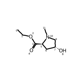 CCOC(=O)[C@@H]1C[C@@H](O)CN1C